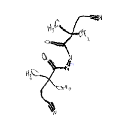 CC(C)(CC#N)C(=O)/N=N\C(=O)C(C)(C)CC#N